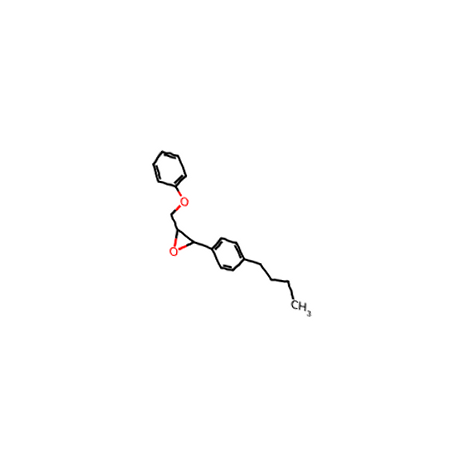 CCCCc1ccc(C2OC2COc2ccccc2)cc1